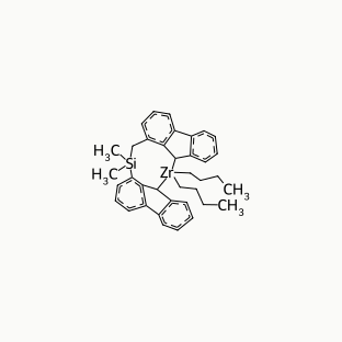 CCC[CH2][Zr]1([CH2]CCC)[CH]2c3ccccc3-c3cccc(c32)C[Si](C)(C)c2cccc3c2[CH]1c1ccccc1-3